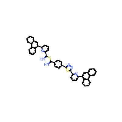 N=C(SC(=N)c1cccc(-c2cc3ccccc3c3ccccc23)n1)c1ccc(-c2nnc(-c3cccc(-c4cc5ccccc5c5ccccc45)n3)s2)cc1